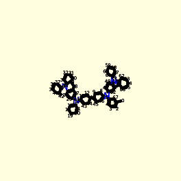 CC1C=CC=C(N(c2ccc(C3C=CC(N(C4=CCCC=C4)c4ccc5c(c4)CC4C=CC=CC4N5C4=CC=CCC4C)=CC3)cc2)c2ccc3c(c2)c2c(n3C3=CC=CCC3)C=CCC=C2)C1